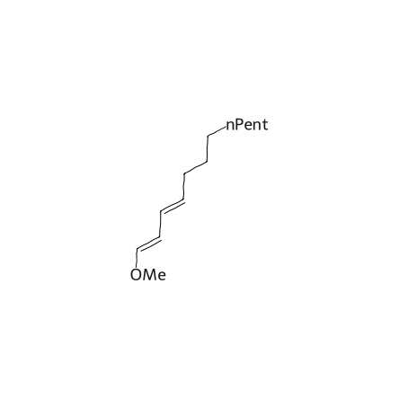 [CH2]O/C=C/C=C/CCCCCCCC